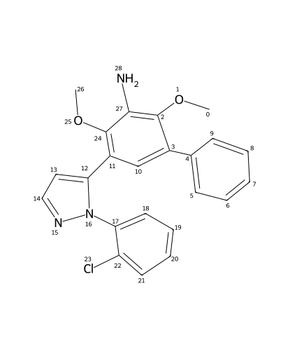 COc1c(-c2ccccc2)cc(-c2ccnn2-c2ccccc2Cl)c(OC)c1N